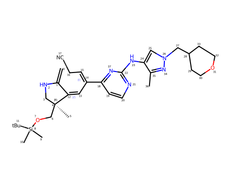 C=C1NC[C@](C)(CO[Si](C)(C)C(C)(C)C)/C1=C/C(=C\CC#N)c1ccnc(Nc2cn(CC3CCOCC3)nc2C)n1